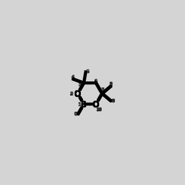 CB1OC(C)(C)CC(C)(C)O1